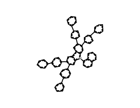 c1ccc(-c2ccc(-c3cc4c5cc(-c6ccc(-c7ccccc7)cc6)c(-c6ccc(-c7ccccc7)cc6)cc5n(-c5cccc6ccccc56)c4cc3-c3ccc(-c4ccccc4)cc3)cc2)cc1